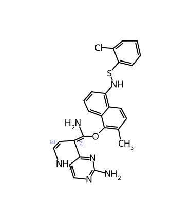 Cc1ccc2c(NSc3ccccc3Cl)cccc2c1O/C(N)=C(/C=C\N)c1ccnc(N)n1